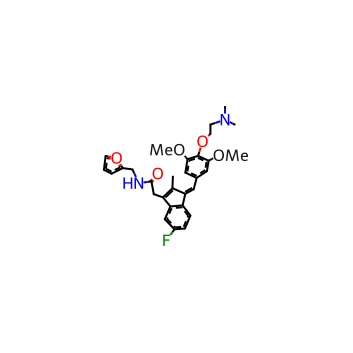 COc1cc(C=C2C(C)=C(CC(=O)NCc3ccco3)c3cc(F)ccc32)cc(OC)c1OCCN(C)C